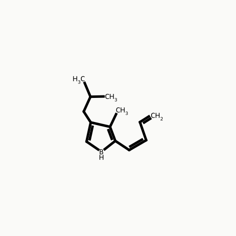 C=C/C=C\C1=C(C)C(CC(C)C)=CB1